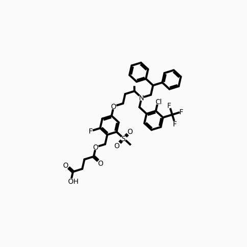 CC(CCOc1cc(F)c(COC(=O)CCC(=O)O)c(S(C)(=O)=O)c1)N(Cc1cccc(C(F)(F)F)c1Cl)CC(c1ccccc1)c1ccccc1